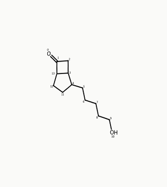 O=C1CC2C(CCCCCO)CCC12